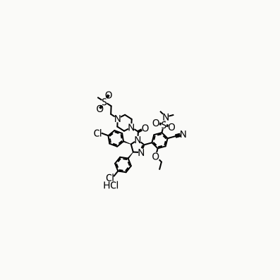 CCOc1cc(C#N)c(S(=O)(=O)N(C)C)cc1C1=N[C@@H](c2ccc(Cl)cc2)[C@@H](c2ccc(Cl)cc2)N1C(=O)N1CCN(CCS(C)(=O)=O)CC1.Cl